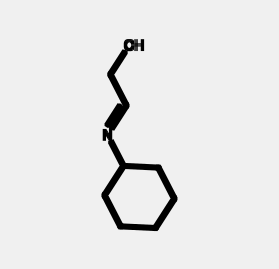 OC/C=N/C1CCCCC1